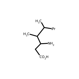 CC(C)C(C)C(C)C(N)CC(=O)O